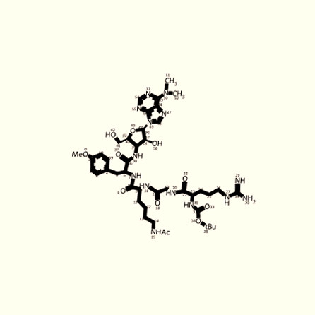 COc1ccc(CC(NC(=O)C(CCCCNC(C)=O)NC(=O)CNC(=O)C(CCCNC(=N)N)NC(=O)OC(C)(C)C)C(=O)NC2[C@@H](CO)O[C@@H](n3cnc4c(N(C)C)ncnc43)[C@H]2O)cc1